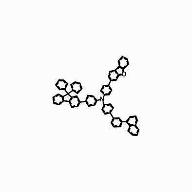 c1ccc(C2(c3ccccc3)c3ccccc3-c3ccc(-c4ccc(N(c5ccc(-c6cccc(-c7cccc8ccccc78)c6)cc5)c5ccc(-c6ccc7c(c6)oc6ccccc67)cc5)cc4)cc32)cc1